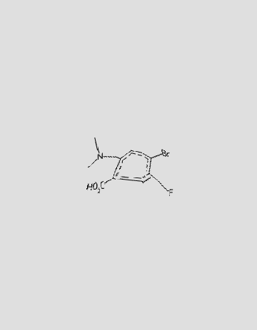 CN(C)c1cc(Br)c(F)cc1C(=O)O